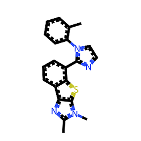 Cc1ccccc1-n1ccnc1-c1cccc2c1sc1c2nc(C)n1C